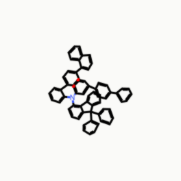 c1ccc(-c2ccc(-c3cccc(N(c4ccccc4-c4ccc(-c5cccc6ccccc56)cc4)c4cccc5c4-c4ccccc4C5(c4ccccc4)c4ccccc4)c3)cc2)cc1